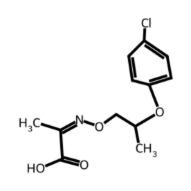 CC(=NOCC(C)Oc1ccc(Cl)cc1)C(=O)O